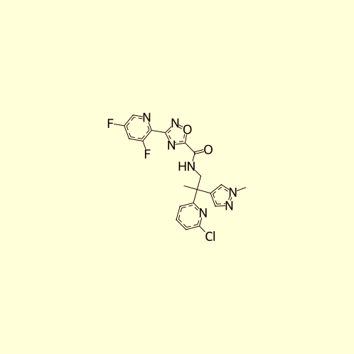 Cn1cc(C(C)(CNC(=O)c2nc(-c3ncc(F)cc3F)no2)c2cccc(Cl)n2)cn1